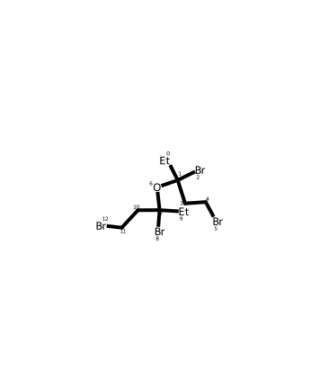 CCC(Br)(CCBr)OC(Br)(CC)CCBr